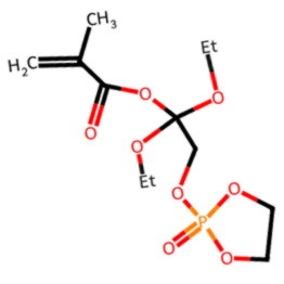 C=C(C)C(=O)OC(COP1(=O)OCCO1)(OCC)OCC